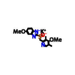 COc1ccc2[n-]c([S+]([O-])Cc3ncc(C)c(OC)c3C)nc2c1.[K+]